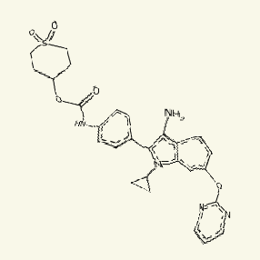 Nc1c(-c2ccc(NC(=O)OC3CCS(=O)(=O)CC3)cc2)n(C2CC2)c2cc(Oc3ncccn3)ccc12